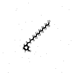 [CH2]c1cccc(CCCCCCCCCCCCCCC)c1